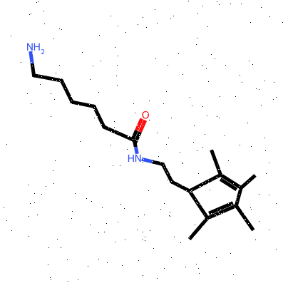 CC1=C(C)C(CCNC(=O)CCCCCN)C(C)=C1C